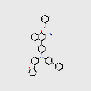 C=Nc1cc(-c2ccc(N(c3ccc(-c4ccccc4)cc3)c3ccc4oc5ccccc5c4c3)cc2)c2ccccc2c1OCc1ccccc1